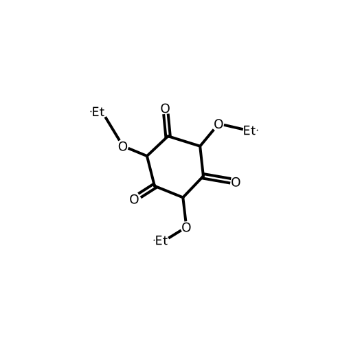 [CH2][CH]OC1C(=O)C(O[CH][CH2])C(=O)C(O[CH][CH2])C1=O